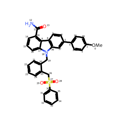 COc1ccc(-c2c[c]c3c4c(C(N)=O)cccc4n(Cc4ccccc4CS(=O)(=O)c4ccccc4)c3c2)cc1